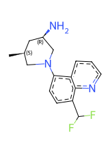 C[C@H]1C[C@@H](N)CN(c2ccc(C(F)F)c3ncccc23)C1